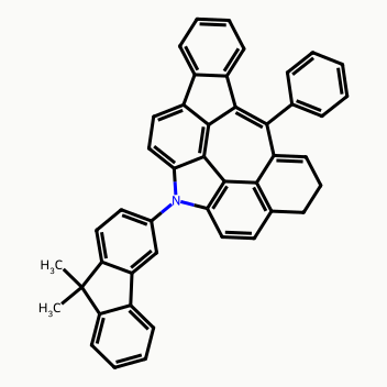 CC1(C)c2ccccc2-c2cc(-n3c4ccc5c6c4c4c7c(ccc43)CCC=c7c(-c3ccccc3)c-6c3ccccc35)ccc21